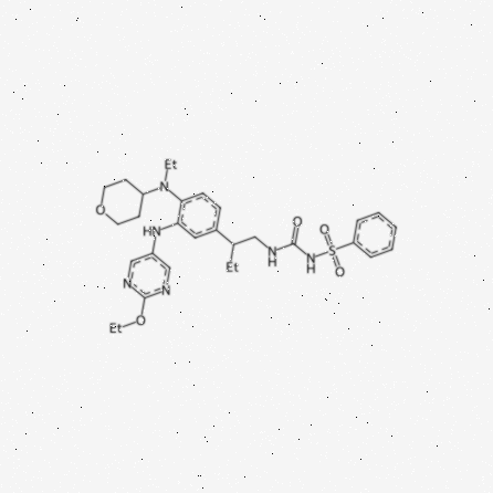 CCOc1ncc(Nc2cc(C(CC)CNC(=O)NS(=O)(=O)c3ccccc3)ccc2N(CC)C2CCOCC2)cn1